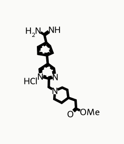 COC(=O)CC1CCN(Cc2ncc(-c3ccc(C(=N)N)cc3)cn2)CC1.Cl